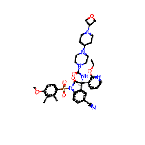 CCOc1ncccc1[C@]1(NC(=O)N2CCN(C3CCN(C4COC4)CC3)CC2)C(=O)N(S(=O)(=O)c2ccc(OC)c(C)c2C)c2ccc(C#N)cc21